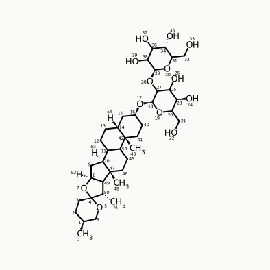 C[C@H]1CC[C@@]2(OC1)O[C@H]1C[C@H]3C4CC[C@@H]5C[C@@H](O[C@@H]6OC(CO)[C@H](O)C(O)C6O[C@@H]6OC(CO)[C@@H](O)C(O)C6O)CC[C@]5(C)C4CC[C@]3(C)C1[C@@H]2C